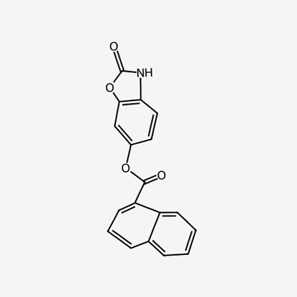 O=C(Oc1ccc2[nH]c(=O)oc2c1)c1cccc2ccccc12